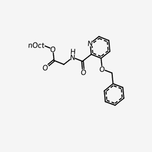 CCCCCCCCOC(=O)CNC(=O)c1ncccc1OCc1ccccc1